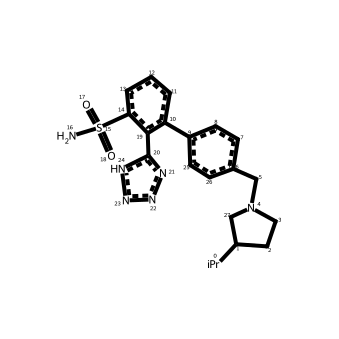 CC(C)C1CCN(Cc2ccc(-c3cccc(S(N)(=O)=O)c3-c3nnn[nH]3)cc2)C1